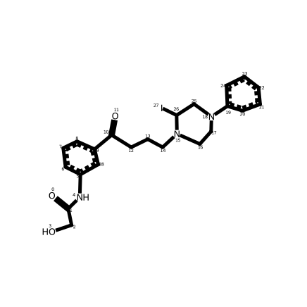 O=C(CO)Nc1cccc(C(=O)CCCN2CCN(c3ccccc3)CC2I)c1